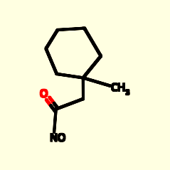 CC1(CC(=O)N=O)CCCCC1